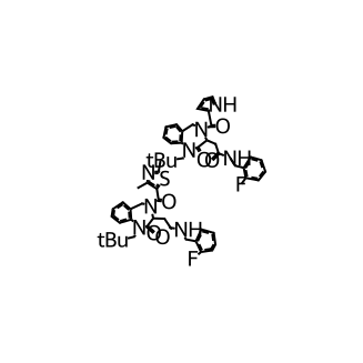 CC(C)(C)CN1C(=O)C(CC(=O)NCc2ccccc2F)N(C(=O)c2ccc[nH]2)Cc2ccccc21.Cc1nc(C)c(C(=O)N2Cc3ccccc3N(CC(C)(C)C)C(=O)C2CC(=O)NCc2ccccc2F)s1